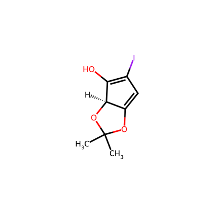 CC1(C)OC2=CC(I)=C(O)[C@@H]2O1